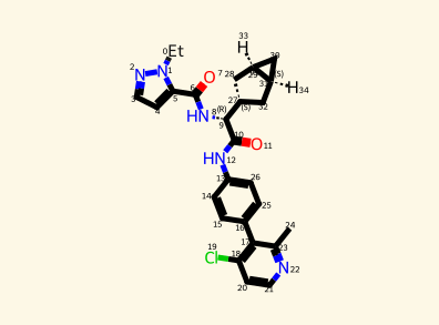 CCn1nccc1C(=O)N[C@@H](C(=O)Nc1ccc(-c2c(Cl)ccnc2C)cc1)[C@@H]1C[C@H]2C[C@H]2C1